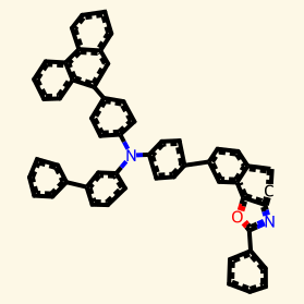 c1ccc(-c2cccc(N(c3ccc(-c4ccc5ccc6nc(-c7ccccc7)oc6c5c4)cc3)c3ccc(-c4cc5ccccc5c5ccccc45)cc3)c2)cc1